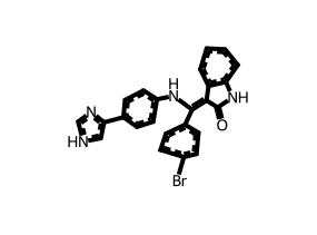 O=C1Nc2ccccc2C1=C(Nc1ccc(-c2c[nH]cn2)cc1)c1ccc(Br)cc1